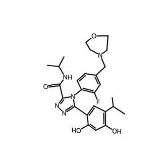 CC(C)NC(=O)c1nnc(-c2cc(C(C)C)c(O)cc2O)n1-c1ccc(CN2CCOCC2)cc1F